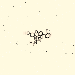 CN1C(=O)C2(N=C1N)c1cc(-c3cccnc3F)ccc1OC1CC(O)CCC12